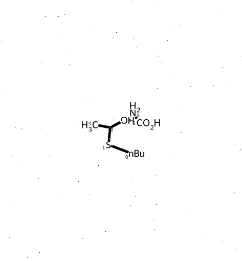 CCCCSC(C)O.NC(=O)O